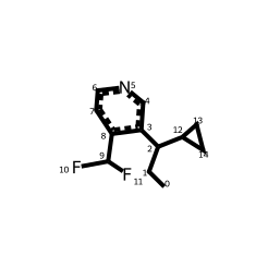 CCC(c1cnccc1C(F)F)C1CC1